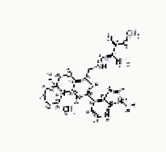 COC(=O)/C(N)=C/NCc1nc(-c2ccnc3c2ccn3C)nc2c1OC[C@@H]1COC[C@@H](C)N21